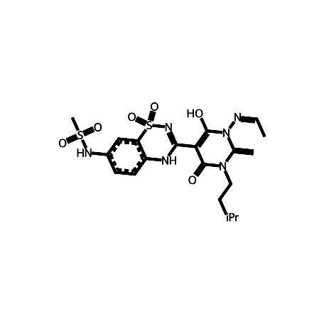 C=C1N(CCC(C)C)C(=O)C(C2=NS(=O)(=O)c3cc(NS(C)(=O)=O)ccc3N2)=C(O)N1/N=C\C